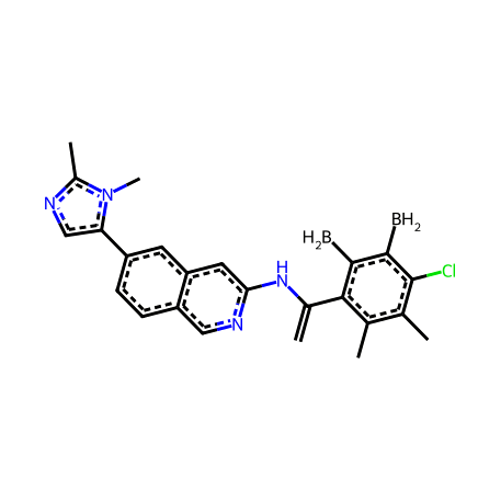 Bc1c(B)c(C(=C)Nc2cc3cc(-c4cnc(C)n4C)ccc3cn2)c(C)c(C)c1Cl